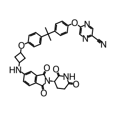 CC(C)(c1ccc(Oc2cnc(C#N)cn2)cc1)c1ccc(OC2CC(Nc3ccc4c(c3)C(=O)N([C@@H]3CCC(=O)NC3=O)C4=O)C2)cc1